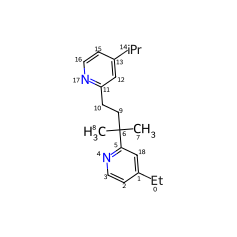 CCc1ccnc(C(C)(C)CCc2cc(C(C)C)ccn2)c1